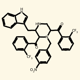 O=C(c1ccccc1C(F)(F)F)C1CNC(Cc2c[nH]c3ccccc23)C(C(=O)c2ccccc2C(F)(F)F)N1Cc1ccc([N+](=O)[O-])cc1